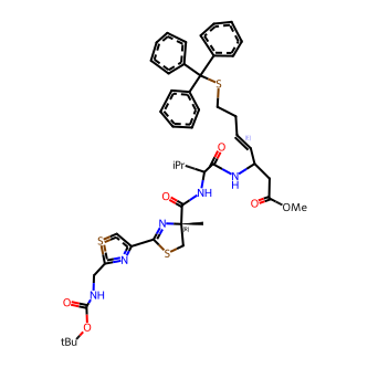 COC(=O)CC(/C=C/CCSC(c1ccccc1)(c1ccccc1)c1ccccc1)NC(=O)C(NC(=O)[C@]1(C)CSC(c2csc(CNC(=O)OC(C)(C)C)n2)=N1)C(C)C